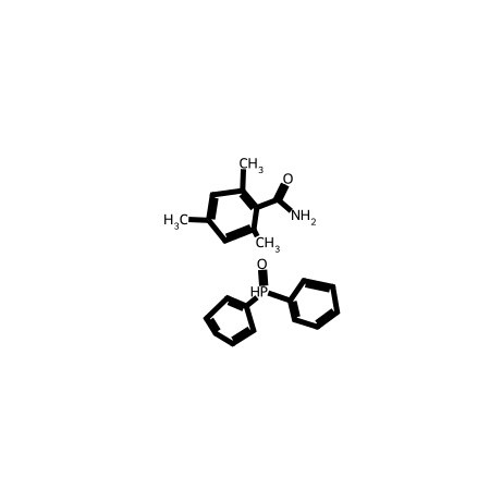 Cc1cc(C)c(C(N)=O)c(C)c1.O=[PH](c1ccccc1)c1ccccc1